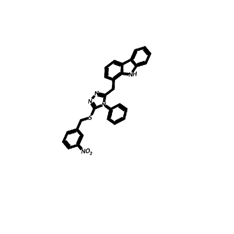 O=[N+]([O-])c1cccc(CSc2nnc(Cc3cccc4c3[nH]c3ccccc34)n2-c2ccccc2)c1